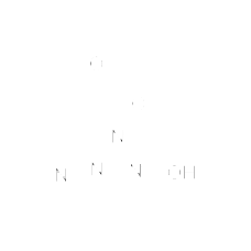 CC(C)c1c(O)nc(-n2ccnc2)nc1OC1CCOC1